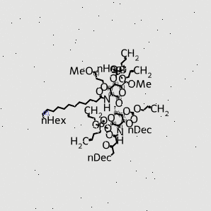 C=CCCP(=O)(OCC=C)O[C@H]1O[C@H](CO[C@@H]2O[C@H](COC)[C@@H](OP(=O)(OCC=C)OCC=C)[C@H](OCC[C@@H](CCCCCCC)OC)[C@H]2NC(=O)CCCCCCCCC/C=C\CCCCCC)[C@@H](OC(=O)OCC=C)[C@H](OCCCCCCCCCC)[C@H]1NC(=O)CC(=O)CCCCCCCCCCC